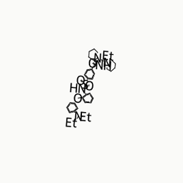 CCN(CC)c1cccc(Oc2ccccc2NS(=O)(=O)c2ccc(C(=O)NC(CC)(N3CCCCC3)N3CCCCC3)cc2)c1